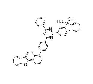 CC1(C)c2ccccc2-c2ccc(-c3nc(-c4ccccc4)nc(-c4ccc(-c5cccc6c5ccc5c7ccccc7oc65)cc4)n3)cc21